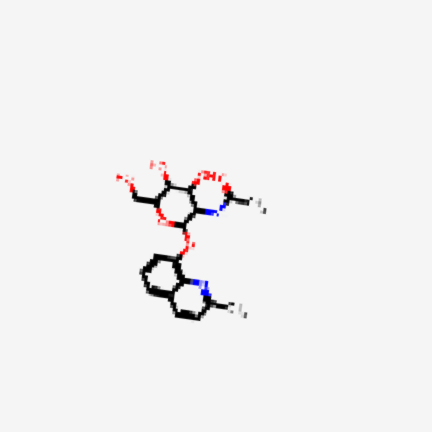 CC(=O)NC1C(Oc2cccc3ccc(C)nc23)OC(CO)C(O)C1O